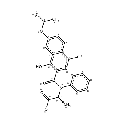 CC(C)Oc1ccc2c(Cl)nc(C(=O)N(c3ccccc3)[C@@H](C)C(=O)O)c(O)c2c1